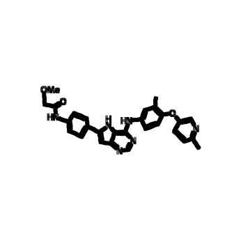 COCC(=O)Nc1ccc(-c2cc3ncnc(Nc4ccc(Oc5ccc(C)nc5)c(C)c4)c3[nH]2)cc1